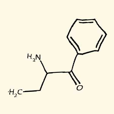 [CH2]CC(N)C(=O)c1ccccc1